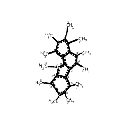 Cc1c(C)c(C)c2c(c1C)c(C)c(C)c1c3c(C)c(C)c(C)c(C)c3n(C)c21